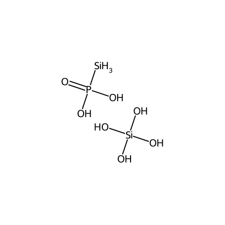 O=P(O)(O)[SiH3].O[Si](O)(O)O